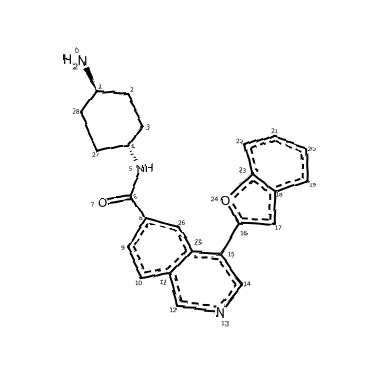 N[C@H]1CC[C@H](NC(=O)c2ccc3cncc(-c4cc5ccccc5o4)c3c2)CC1